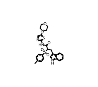 Cc1ccc(S(=O)(=O)C(Cc2c[nH]c3ccccc23)C(=O)Nc2ncc(N3CCOCC3)s2)cc1